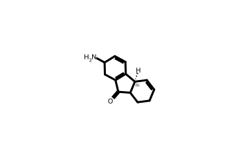 NC1C=CC2=C(C1)C(=O)C1CCC=C[C@H]21